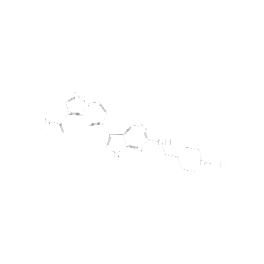 CN1CCC(CNc2ncc3c(-c4ccn5ncc(C(N)=O)c5c4)c[nH]c3n2)CC1